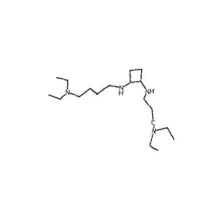 CCN(CC)CCCCNC1CCC1NCCCN(CC)CC